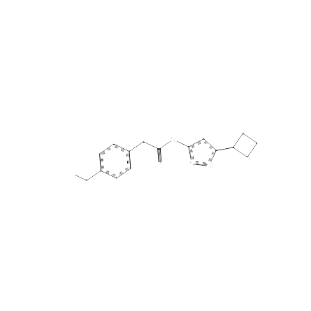 O=C(O)Cc1ccc(CC(=O)Nc2cc(C3CCC3)[nH]n2)cc1